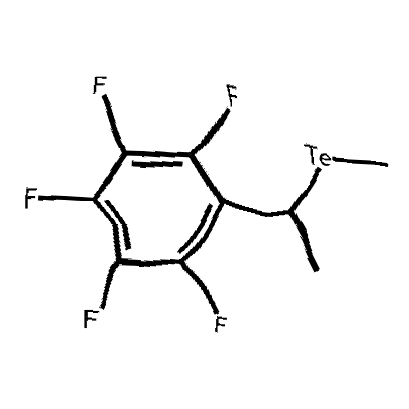 C[Te]C(C)c1c(F)c(F)c(F)c(F)c1F